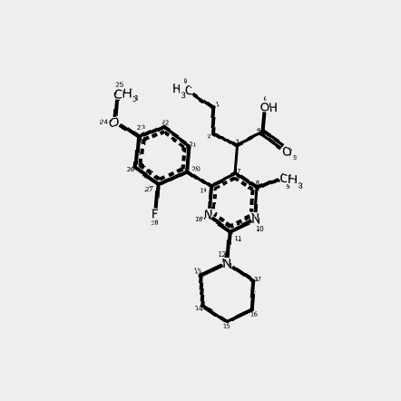 CCCC(C(=O)O)c1c(C)nc(N2CCCCC2)nc1-c1ccc(OC)cc1F